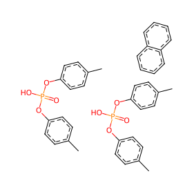 Cc1ccc(OP(=O)(O)Oc2ccc(C)cc2)cc1.Cc1ccc(OP(=O)(O)Oc2ccc(C)cc2)cc1.c1ccc2ccccc2c1